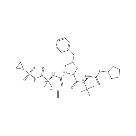 C=C[C@@H]1C[C@]1(NC(=O)[C@@H]1CN(Cc2ccccc2)CN1C(=O)[C@@H](NC(=O)OC1CCCC1)C(C)(C)C)C(=O)NS(=O)(=O)C1CC1